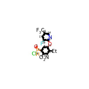 CCc1cc([N+](=O)[O-])c([PH](=O)Cl)cc1Oc1ncc(C(F)(F)F)cc1F